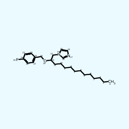 CCCCCCCCCCCCC(Cn1ccnc1)OCc1ccc(F)cc1